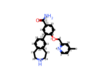 Cc1ccnc(COc2ccc(C(N)=O)cc2-c2ccc3c(c2)CCNCC3)c1